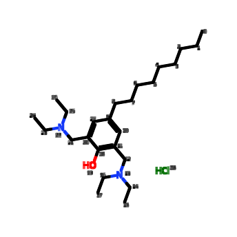 CCCCCCCCCc1cc(CN(CC)CC)c(O)c(CN(CC)CC)c1.Cl